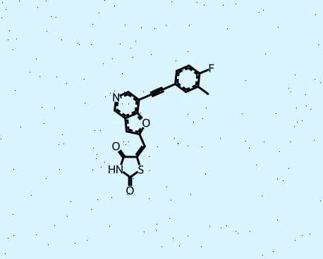 Cc1cc(C#Cc2cncc3cc(C=C4SC(=O)NC4=O)oc23)ccc1F